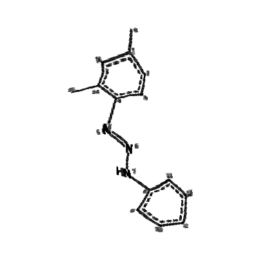 Cc1ccc(N=NNc2ccccc2)c(C)c1